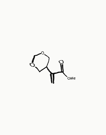 C=C(C(=O)OC)C1COCOC1